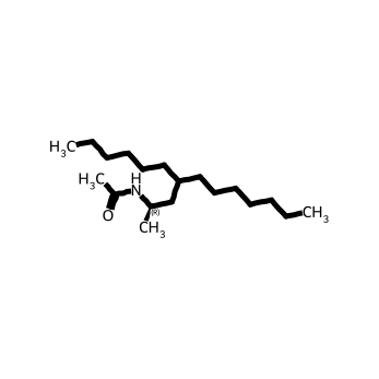 CCCCCCCC(CCCCCC)C[C@@H](C)NC(C)=O